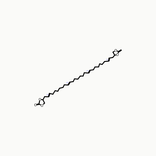 C=C1OCC(C/C=C/CCCCCC/C=C/CCCCCC/C=C/CCCCCC/C=C/CC2COC(=O)O2)O1